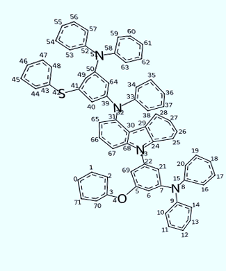 c1ccc(Oc2cc(N(c3ccccc3)c3ccccc3)cc(-n3c4ccccc4c4c(N(c5ccccc5)c5cc(Sc6ccccc6)cc(N(c6ccccc6)c6ccccc6)c5)cccc43)c2)cc1